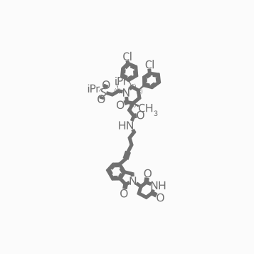 CC(C)[C@@H](CS(=O)(=O)C(C)C)N1C(=O)[C@@](C)(CC(=O)NCCCC#Cc2cccc3c2CN(C2CCC(=O)NC2=O)C3=O)C[C@H](c2cccc(Cl)c2)[C@H]1c1ccc(Cl)cc1